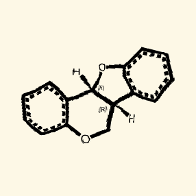 c1ccc2c(c1)O[C@H]1c3ccccc3OC[C@@H]21